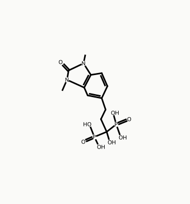 Cn1c(=O)n(C)c2cc(CCC(O)(P(=O)(O)O)P(=O)(O)O)ccc21